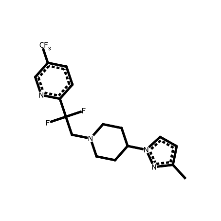 Cc1ccn(C2CCN(CC(F)(F)c3ccc(C(F)(F)F)cn3)CC2)n1